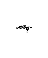 CCOc1cc(C#N)cc(-c2nc(-c3ccc(C#N)cn3)no2)c1